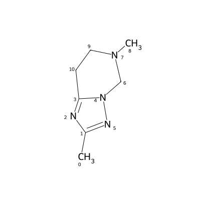 Cc1nc2n(n1)CN(C)CC2